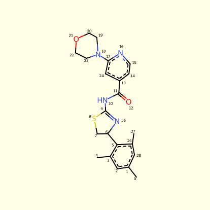 Cc1cc(C)c(C2CSC(NC(=O)c3ccnc(N4CCOCC4)c3)=N2)c(C)c1